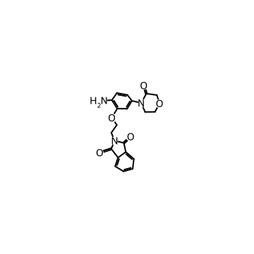 Nc1ccc(N2CCOCC2=O)cc1OCCN1C(=O)c2ccccc2C1=O